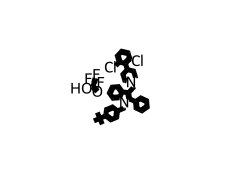 CC(C)(C)c1ccc(Cn2c(-c3ccccc3)c(CN3CCC(c4c(Cl)cccc4Cl)CC3)c3ccccc32)cc1.O=C(O)C(F)(F)F